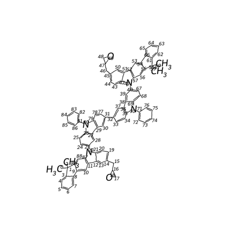 CC1(C)c2ccccc2-c2cc3c4cc(CC5CO5)ccc4n(-c4ccc5c(c4)c4cc(-c6ccc7c(c6)c6cc(-n8c9ccc(CC%10CO%10)cc9c9cc%10c(cc98)C(C)(C)c8ccccc8-%10)ccc6n7-c6ccccc6)ccc4n5-c4ccccc4)c3cc21